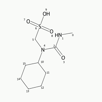 CNC(=O)N(CS(=O)(=O)O)C1CCCCC1